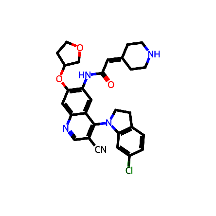 N#Cc1cnc2cc(OC3CCOC3)c(NC(=O)C=C3CCNCC3)cc2c1N1CCc2ccc(Cl)cc21